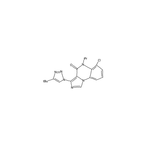 CC(C)n1c(=O)c2c(-n3cc(C(C)(C)C)nn3)ncn2c2cccc(Cl)c21